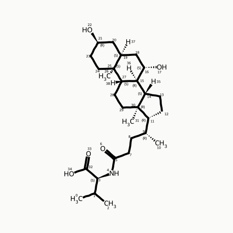 CC(C)[C@H](NC(=O)CC[C@@H](C)[C@H]1CC[C@H]2[C@@H]3[C@@H](O)C[C@@H]4C[C@H](O)CC[C@]4(C)[C@H]3CC[C@]12C)C(=O)O